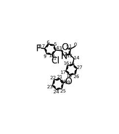 Cc1oc(-c2ccc(F)cc2Cl)nc1Cc1ccc(Oc2ccccc2)cc1